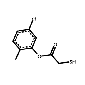 Cc1ccc(Cl)cc1OC(=O)CS